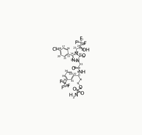 NS(=O)(=O)OCCC(NC(=O)Cn1nc(-c2ccc(Cl)cc2)n(C[C@H](O)C(F)(F)F)c1=O)c1cccc(C(F)(F)F)c1